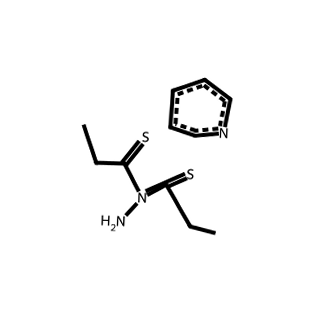 CCC(=S)N(N)C(=S)CC.c1ccncc1